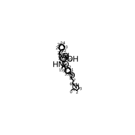 CC1CCCN1CCCOc1ccc(C2(C)NC(CNCc3ccccc3)=C(C(=O)O)O2)cc1